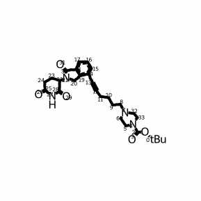 CC(C)(C)OC(=O)N1CCN(CCCCC#Cc2cccc3c2CN(C2CCC(=O)NC2=O)C3=O)CC1